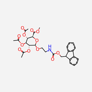 COC(=O)[C@H]1O[C@@H](OCCNC(=O)OCC2c3ccccc3-c3ccccc32)[C@H](OC(C)=O)[C@@H](OC(C)=O)[C@@H]1OC(C)=O